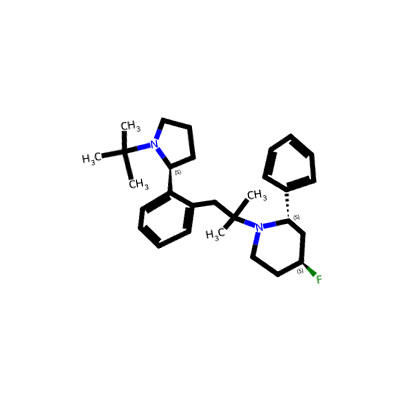 CC(C)(C)N1CCC[C@H]1c1ccccc1CC(C)(C)N1CC[C@H](F)C[C@H]1c1ccccc1